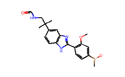 COc1cc([S+](C)[O-])ccc1-c1nc2cc(C(C)(C)CNC=O)ccc2[nH]1